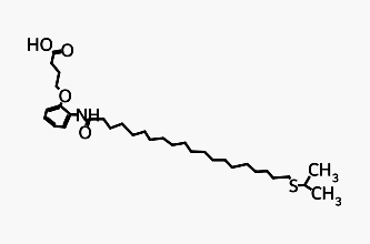 CC(C)SCCCCCCCCCCCCCCCCCCCC(=O)Nc1ccccc1OCCCC(=O)O